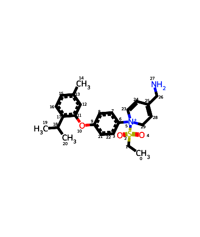 CCS(=O)(=O)[N+]1(c2ccc(Oc3cc(C)ccc3C(C)C)cc2)C=CC(CN)=CC1